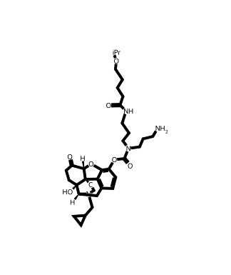 CC(C)OCCCCC(=O)NCCCN(CCCN)C(=O)Oc1ccc2c3c1O[C@H]1C(=O)CC[C@@]4(O)[C@@H](C2)N(CC2CC2)CC[C@]314